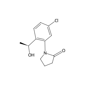 C[C@H](O)c1ccc(Cl)cc1N1CCCC1=O